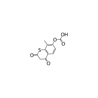 Cc1c(OC(=O)O)ccc2c1SC(=O)CC2=O